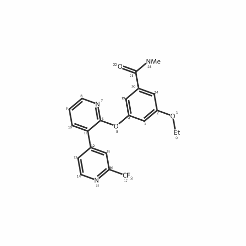 CCOc1cc(Oc2ncccc2-c2ccnc(C(F)(F)F)c2)cc(C(=O)NC)c1